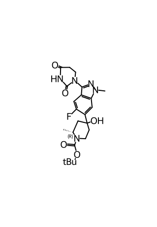 C[C@@H]1CC(O)(c2cc3c(cc2F)c(N2CCC(=O)NC2=O)nn3C)CCN1C(=O)OC(C)(C)C